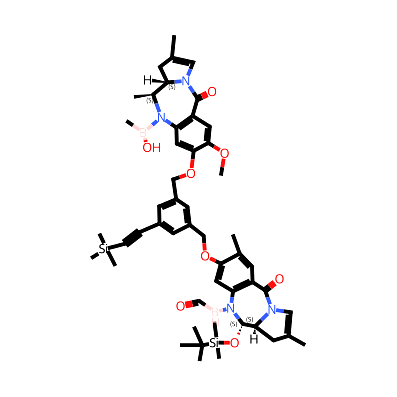 COc1cc2c(cc1OCc1cc(C#C[Si](C)(C)C)cc(COc3cc4c(cc3C)C(=O)N3C=C(C)C[C@H]3[C@H](O[Si](C)(C)C(C)(C)C)N4BC=O)c1)N(B(C)O)[C@@H](C)[C@@H]1CC(C)=CN1C2=O